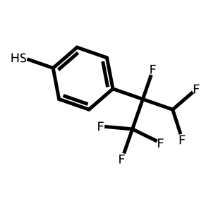 FC(F)C(F)(c1ccc(S)cc1)C(F)(F)F